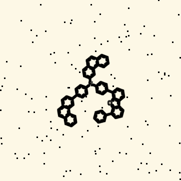 c1ccc(-c2cccc3c2oc2c(-c4ccc(N(c5ccc(-c6ccc7ccc8ccccc8c7c6)cc5)c5ccc6ccc7ccccc7c6c5)cc4)cccc23)cc1